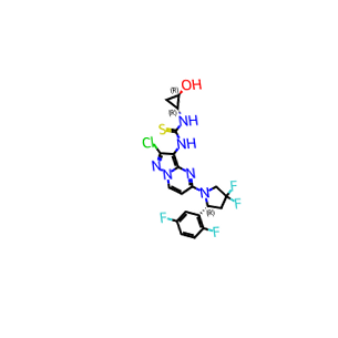 O[C@@H]1C[C@H]1NC(=S)Nc1c(Cl)nn2ccc(N3CC(F)(F)C[C@@H]3c3cc(F)ccc3F)nc12